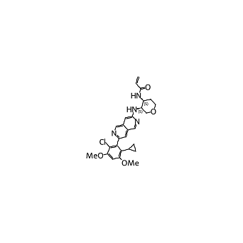 C=CC(=O)N[C@H]1CCOC[C@H]1Nc1cc2cnc(-c3c(Cl)c(OC)cc(OC)c3C3CC3)cc2cn1